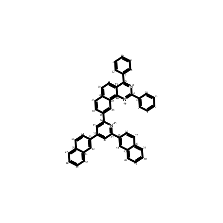 c1ccc(-c2nc(-c3ccccc3)c3ccc4ccc(-c5cc(-c6ccc7ccccc7c6)cc(-c6ccc7ccccc7c6)n5)cc4c3n2)cc1